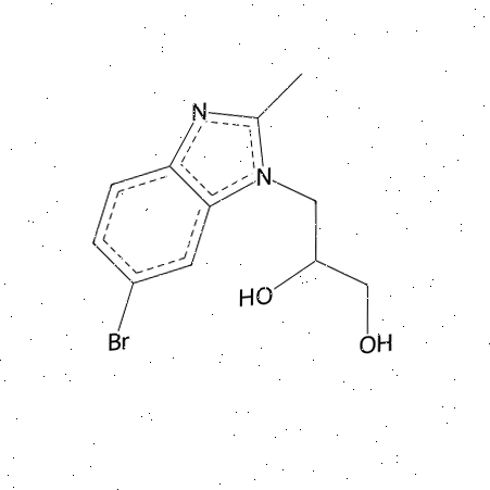 Cc1nc2ccc(Br)cc2n1CC(O)CO